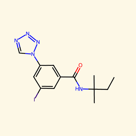 CCC(C)(C)NC(=O)c1cc(I)cc(-n2cnnn2)c1